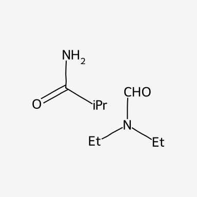 CC(C)C(N)=O.CCN(C=O)CC